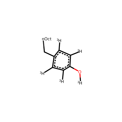 [2H]Oc1c([2H])c([2H])c(CCCCCCCCC)c([2H])c1[2H]